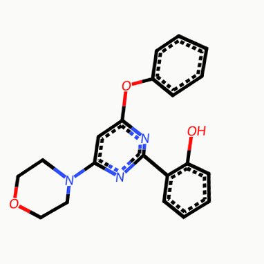 Oc1ccccc1-c1nc(Oc2ccccc2)cc(N2CCOCC2)n1